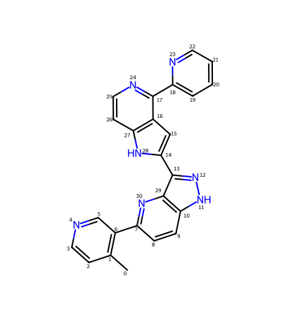 Cc1ccncc1-c1ccc2[nH]nc(-c3cc4c(-c5ccccn5)nccc4[nH]3)c2n1